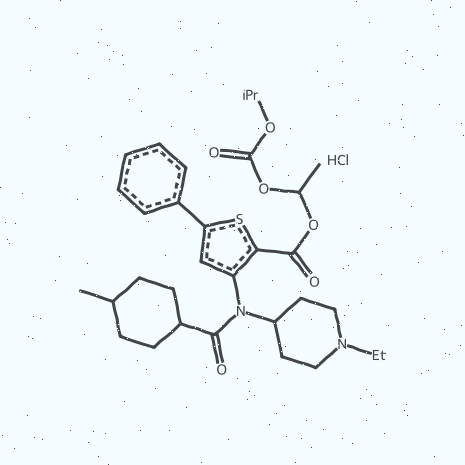 CCN1CCC(N(C(=O)C2CCC(C)CC2)c2cc(-c3ccccc3)sc2C(=O)OC(C)OC(=O)OC(C)C)CC1.Cl